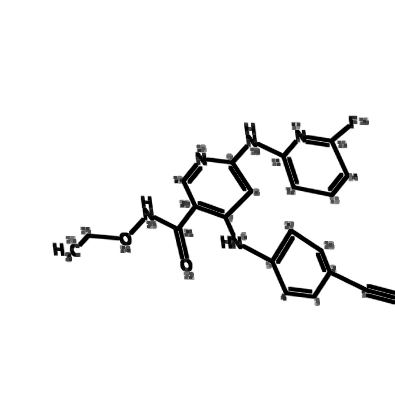 C#Cc1ccc(Nc2cc(Nc3cccc(F)n3)ncc2C(=O)NOCC)cc1